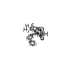 Cc1cc2nc3c(=O)[nH]c(=O)nc-3n(CCN3CCCC(c4ccccc4)C3)c2cc1C